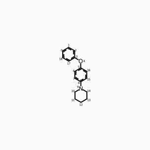 c1ccc(Oc2ccc(N3CCCCC3)cc2)cc1